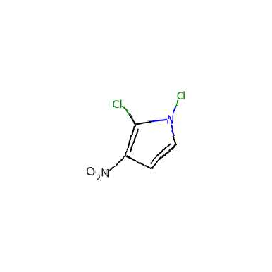 O=[N+]([O-])c1ccn(Cl)c1Cl